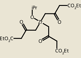 CCOC(=O)CC(=O)[CH2][Zr]([CH2]C(=O)CC(=O)OCC)([CH2]C(=O)CC(=O)OCC)[O]C(C)C